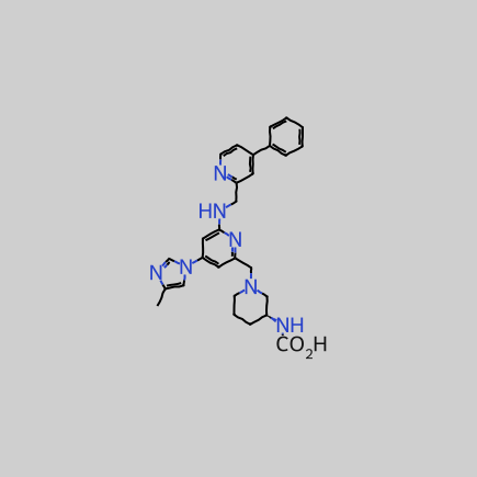 Cc1cn(-c2cc(CN3CCC[C@H](NC(=O)O)C3)nc(NCc3cc(-c4ccccc4)ccn3)c2)cn1